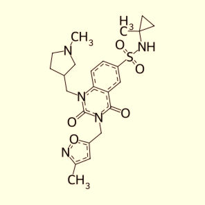 Cc1cc(Cn2c(=O)c3cc(S(=O)(=O)NC4(C)CC4)ccc3n(CC3CCN(C)C3)c2=O)on1